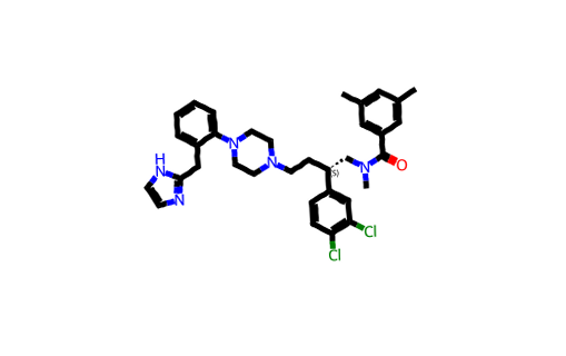 Cc1cc(C)cc(C(=O)N(C)C[C@@H](CCN2CCN(c3ccccc3Cc3ncc[nH]3)CC2)c2ccc(Cl)c(Cl)c2)c1